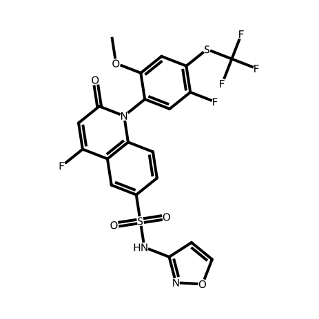 COc1cc(SC(F)(F)F)c(F)cc1-n1c(=O)cc(F)c2cc(S(=O)(=O)Nc3ccon3)ccc21